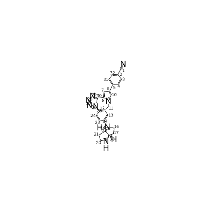 N#Cc1ccc(-c2cc3n(c2)Cc2cc(N4CC[C@@H]5NCC[C@H]54)ccc2-n2nnnc2-3)cc1